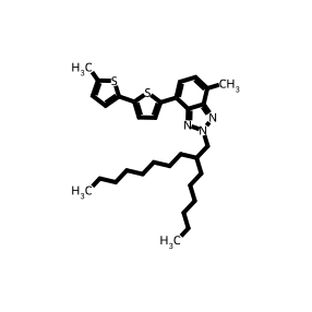 CCCCCCCCC(CCCCCC)Cn1nc2c(C)ccc(-c3ccc(-c4ccc(C)s4)s3)c2n1